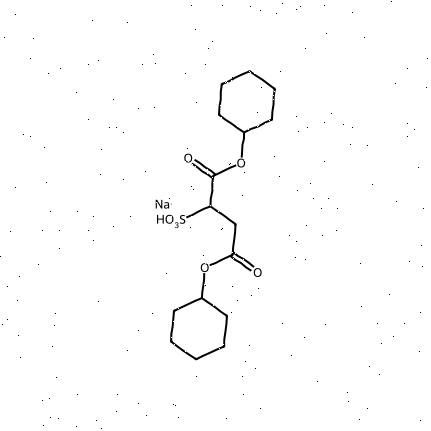 O=C(CC(C(=O)OC1CCCCC1)S(=O)(=O)O)OC1CCCCC1.[Na]